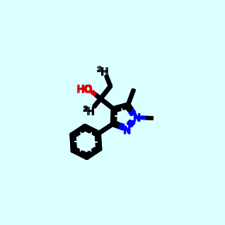 [2H]CC([2H])(O)c1c(-c2ccccc2)nn(C)c1C